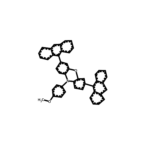 COc1ccc(N2c3ccc(-c4c5ccccc5cc5ccccc45)cc3Oc3cc(-c4c5ccccc5cc5ccccc45)ccc32)cc1